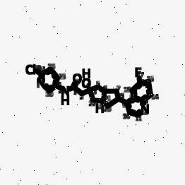 O=C(CC1(O)CC2CC(c3ccnc4ccc(F)cc34)C[C@H]2C1)Nc1ccc(Cl)nc1